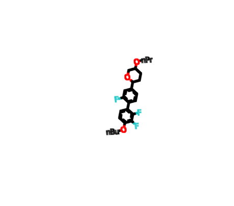 CCCCOc1ccc(-c2ccc(C3CCC(OCCC)CO3)cc2F)c(F)c1F